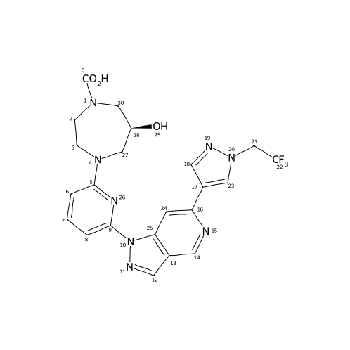 O=C(O)N1CCN(c2cccc(-n3ncc4cnc(-c5cnn(CC(F)(F)F)c5)cc43)n2)C[C@H](O)C1